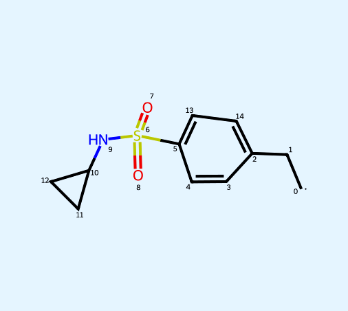 [CH2]Cc1ccc(S(=O)(=O)NC2CC2)cc1